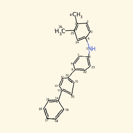 Cc1ccc(Nc2ccc(-c3ccc(-c4ccccc4)cc3)cc2)cc1C